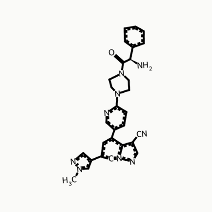 Cn1cc(-c2cc(-c3ccc(N4CCN(C(=O)[C@H](N)c5ccccc5)CC4)nc3)c3c(C#N)cnn3c2)cn1